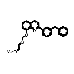 COCCOCOc1[c]ccc2ccc(-c3cccc(Cc4ccccc4)c3)nc12